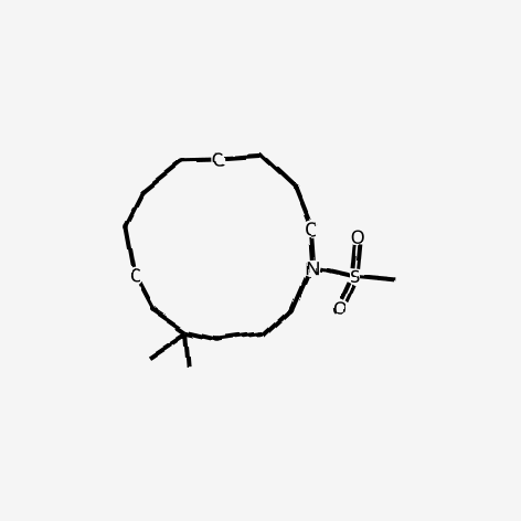 CC1(C)CCCCCCCCCN(S(C)(=O)=O)CCC1